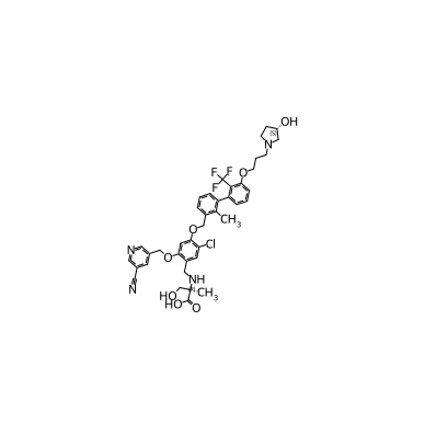 Cc1c(COc2cc(OCc3cncc(C#N)c3)c(CN[C@](C)(CO)C(=O)O)cc2Cl)cccc1-c1cccc(OCCCN2CC[C@H](O)C2)c1C(F)(F)F